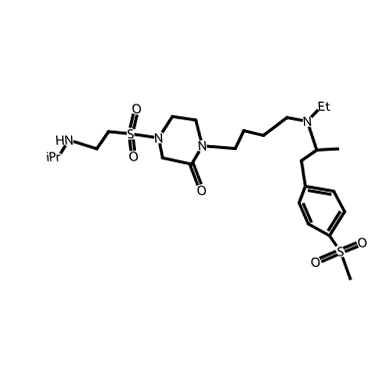 CCN(CCCCN1CCN(S(=O)(=O)CCNC(C)C)CC1=O)C(C)Cc1ccc(S(C)(=O)=O)cc1